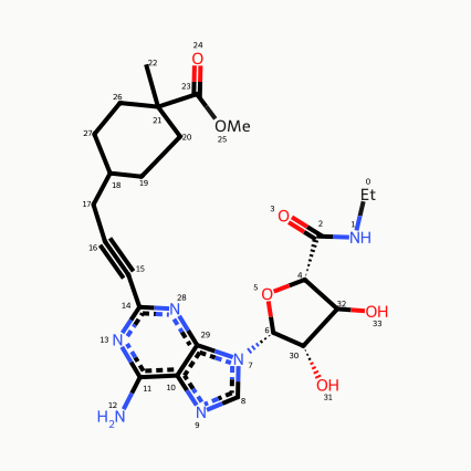 CCNC(=O)[C@H]1O[C@@H](n2cnc3c(N)nc(C#CCC4CCC(C)(C(=O)OC)CC4)nc32)[C@@H](O)C1O